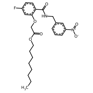 CCCCCCCCOC(=O)COc1cc(F)ccc1C(=O)NCc1cccc([N+](=O)[O-])c1